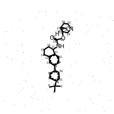 CC(C)(C)c1ccc(-c2ccc3c(c2)CCCC3NC(=O)O[C@@H]2CN3CCC2CC3)cc1